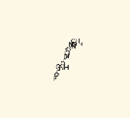 Cc1nc(-c2ccc3c(c2)CCN(CC[C@H]2CC[C@H](NC(=O)C=Cc4ccc(F)cc4)CC2)CC3)no1